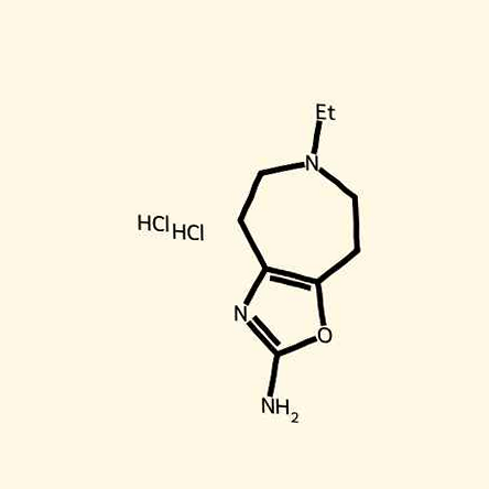 CCN1CCc2nc(N)oc2CC1.Cl.Cl